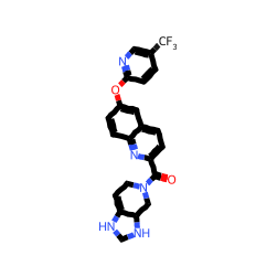 O=C(c1ccc2cc(Oc3ccc(C(F)(F)F)cn3)ccc2n1)N1CC=C2NCNC2C1